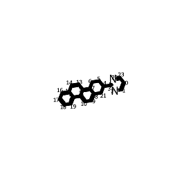 c1cnc(C2CCc3c(ccc4c3ccc3ccccc34)C2)nc1